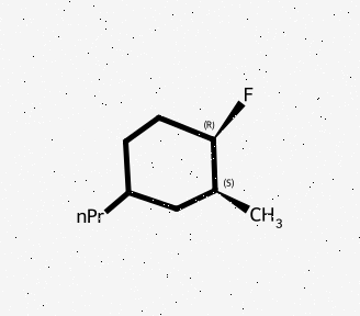 CCCC1CC[C@@H](F)[C@@H](C)C1